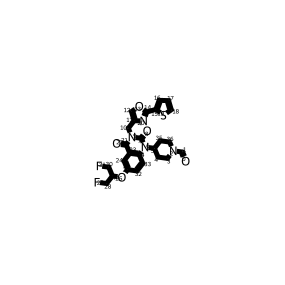 O=CN1CCC(n2c(=O)n(Cc3coc(-c4cccs4)n3)c(=O)c3cc(OC(CF)CF)ccc32)CC1